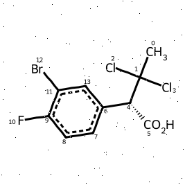 CC(Cl)(Cl)[C@H](C(=O)O)c1ccc(F)c(Br)c1